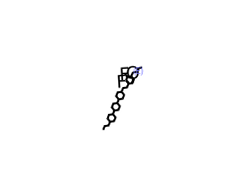 C/C=C/Oc1ccc(CCC2CCC(C3CCC(C4CCC(CCC)CC4)CC3)CC2)c(F)c1F